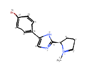 CN1CCC[C@@H]1c1ncc(-c2ccc(Br)cc2)[nH]1